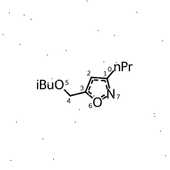 CCCc1cc(COCC(C)C)on1